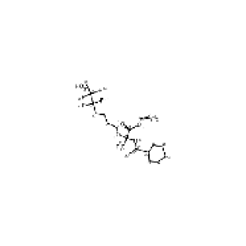 C=COC(=O)C(OCCCCC(F)(F)C(F)(F)S(=O)(=O)O)(OC(=O)C1CCCCC1)C(F)(F)F